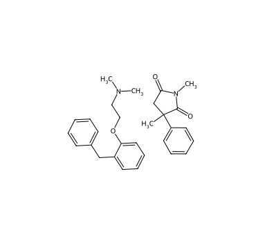 CN(C)CCOc1ccccc1Cc1ccccc1.CN1C(=O)CC(C)(c2ccccc2)C1=O